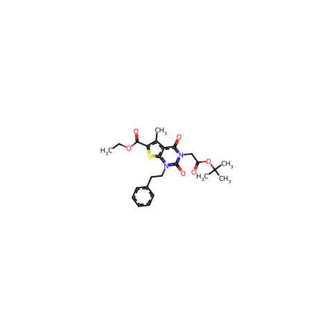 CCOC(=O)c1sc2c(c1C)c(=O)n(CC(=O)OC(C)(C)C)c(=O)n2CCc1ccccc1